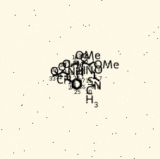 COCC(NC(=O)C1CN=C(C)S1)C(=O)N[C@@H](COC)C(=O)NC(Cc1ccccc1)C(=O)C1(C)CO1